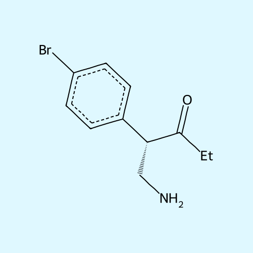 CCC(=O)[C@H](CN)c1ccc(Br)cc1